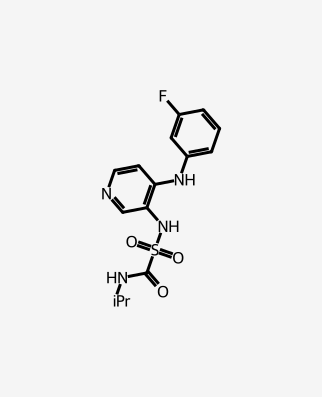 CC(C)NC(=O)S(=O)(=O)Nc1cnccc1Nc1cccc(F)c1